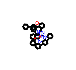 c1ccc(-c2ccc(-n3c4ccccc4c4ccc5c6ccccc6n(-c6nc(-c7ccccc7)nc(-c7cccc8oc9cc(-c%10ccccc%10)ccc9c78)n6)c5c43)c(-c3ccccc3)c2)cc1